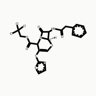 O=C(Cc1ccccc1)NC1C(=O)N2C(C(=O)OCC(Cl)(Cl)Cl)C(Sc3nccs3)=CS[C@H]12